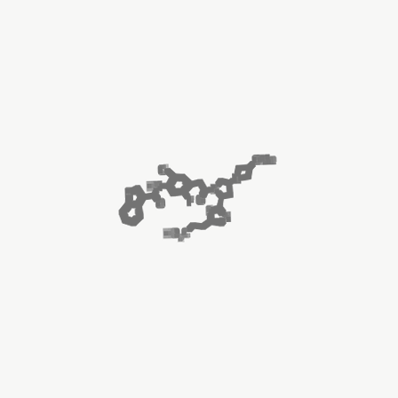 COC1CN([C@H]2C[C@@H](c3ncc(CCC(=O)O)s3)N(C(=O)Cc3cc(Cl)c(NC(=O)c4csc5ccccc45)cc3F)C2)C1